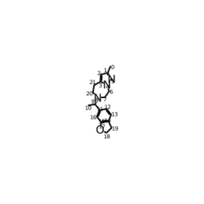 Cc1cc2n(n1)CCN(C(C)c1ccc3c(c1)OCC3)CC2